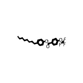 CCCCCCCCc1ccc(OC(=O)c2ccc(OC(F)(F)F)cc2)cc1